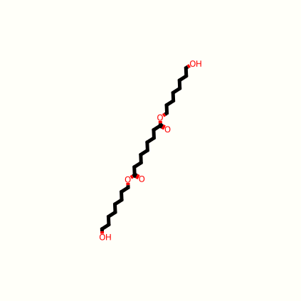 O=C(CCCCCCCC(=O)OCCCCCCCCO)OCCCCCCCCO